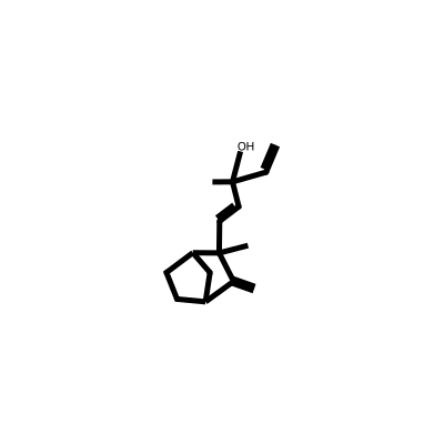 C=CC(C)(O)C=CC1(C)C(=C)C2CCC1C2